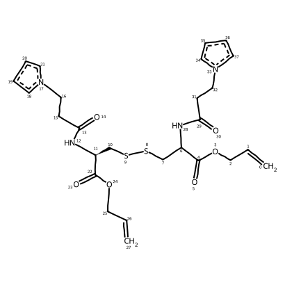 C=CCOC(=O)C(CSSC[C@H](NC(=O)CCn1cccc1)C(=O)OCC=C)NC(=O)CCn1cccc1